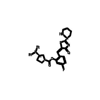 CCN(CC)[C@@H]1CCN(C(=O)Oc2cc(F)ccc2C=C2SC(N3CCCCN3)=NC2=O)C1